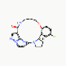 O=C1NCCCOc2ccc(F)cc2[C@H]2CCCN2c2ccn3ncc1c3n2